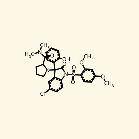 COc1ccc(S(=O)(=O)N2C(=O)C(c3ccccc3O)(N3CCCC3C(=O)N(C)C)c3cc(Cl)ccc32)c(OC)c1